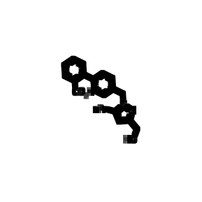 CCCc1cc(CO)nn1Cc1ccc(-c2ccccc2C(=O)O)cc1